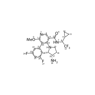 COc1ncc(C(=O)NC(C2CC2)C(F)(F)F)c(N2CC[C@H](N)C2)c1-c1cc(F)cc(F)c1